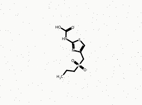 CCCS(=O)(=O)Cc1csc(NC(=O)O)n1